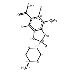 COC(=O)c1c(C)c2c(c(OC)c1Br)OC(C)([C@H]1CC[C@H](N)CC1)O2